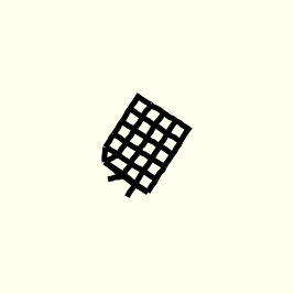 CC12C3C4C5C6C7CC8C9C%10CC%11C%12C%13C%14C3%15C1(C)C13C42C52C64C87C95C%10%11C%126C%13(C%14%151)C23C546